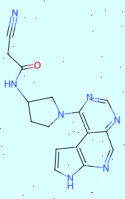 N#CCC(=O)NC1CCN(c2ncnc3cnc4[nH]ccc4c23)C1